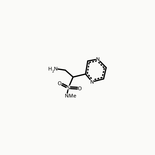 CNS(=O)(=O)C(CN)c1cnccn1